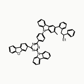 CCC(Cc1ccccc1-c1cc2c3ccccc3n(-c3ccc(-c4nc(-c5ccc6c(c5)oc5ccccc56)nc(-n5c6ccccc6c6ccccc65)n4)cc3)c2cc1C)c1ccccc1